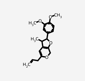 C=CCC1=CC2=C(CO1)OC(c1ccc(OC)c(OC)c1)C2C